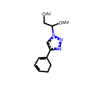 COC(COC(C)=O)n1cc(C2=CC=CCC2)nn1